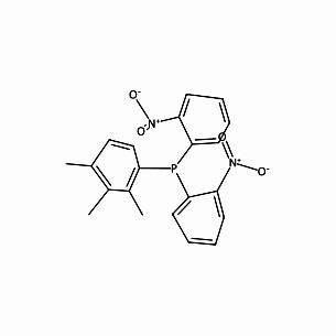 Cc1ccc(P(c2ccccc2[N+](=O)[O-])c2ccccc2[N+](=O)[O-])c(C)c1C